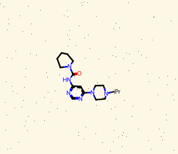 CC(C)N1CCN(c2cc(NC(=O)N3CCCCC3)ncn2)CC1